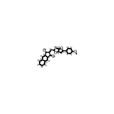 COc1ccc(-c2cc3oc(C=C4C(=O)c5cc6ccccc6cc5C4=O)nc3o2)cc1